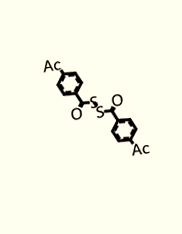 CC(=O)c1ccc(C(=O)SSC(=O)c2ccc(C(C)=O)cc2)cc1